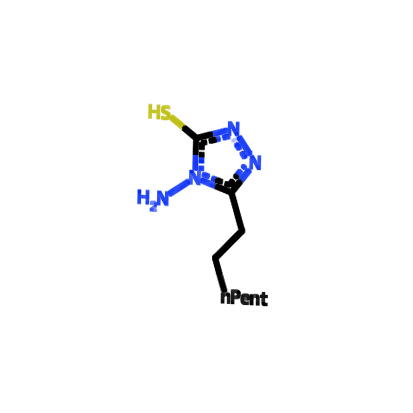 CCCCCCCc1nnc(S)n1N